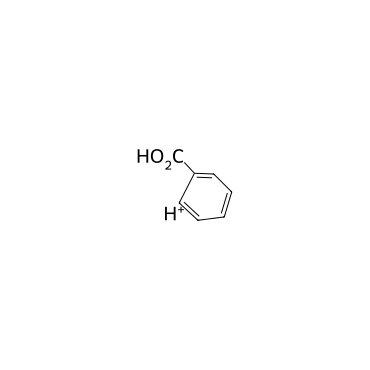 O=C(O)c1ccccc1.[H+]